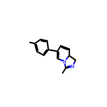 CC1=NCC2C=CC(c3ccc(C)cc3)=CN12